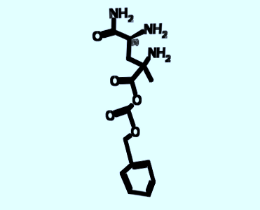 CC(N)(C[C@H](N)C(N)=O)C(=O)OC(=O)OCc1ccccc1